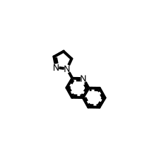 C1=NN(c2ccc3ccccc3n2)CC1